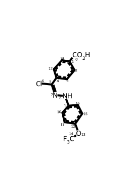 O=C(O)c1ccc(/C(Cl)=N\Nc2ccc(OC(F)(F)F)cc2)cc1